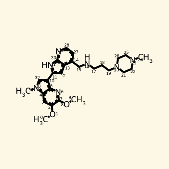 COc1cc2c(nc1OC)c(-c1cc3c(CNCCCN4CCN(C)CC4)ccnc3[nH]1)cn2C